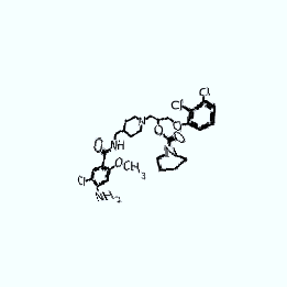 COc1cc(N)c(Cl)cc1C(=O)NCC1CCN(CC(COc2cccc(Cl)c2Cl)OC(=O)N2CCCC2)CC1